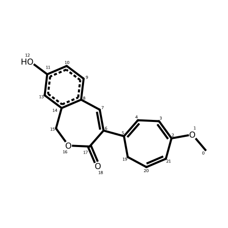 COC1=CC=C(C2=Cc3ccc(O)cc3COC2=O)CC=C1